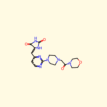 O=C1NC(=O)C(=Cc2ccnc(N3CCN(CC(=O)N4CCOCC4)CC3)n2)N1